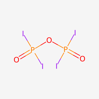 O=P(I)(I)OP(=O)(I)I